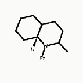 CCN1C(C)CCC2CCCC[C@H]21